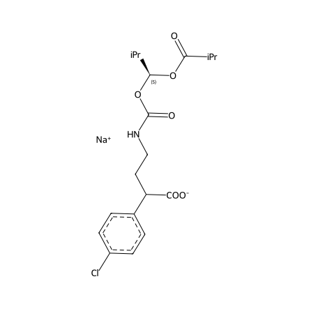 CC(C)C(=O)O[C@@H](OC(=O)NCCC(C(=O)[O-])c1ccc(Cl)cc1)C(C)C.[Na+]